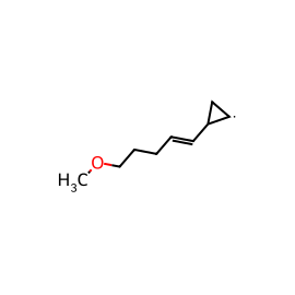 COCCCC=CC1[CH]C1